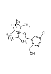 CC(C)[Si](OCc1cc(Cl)cnc1CO)(C(C)C)C(C)C